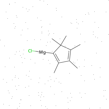 CC1=C(C)C(C)(C)[C]([Mg][Cl])=C1C